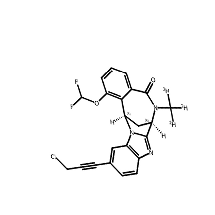 [2H]C([2H])([2H])N1C(=O)c2cccc(OC(F)F)c2[C@H]2C[C@@H]1c1nc3ccc(C#CCCl)cc3n12